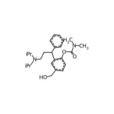 CC(C)N(CCC(c1ccccc1)c1cc(CO)ccc1OC(=O)N(C)C)C(C)C